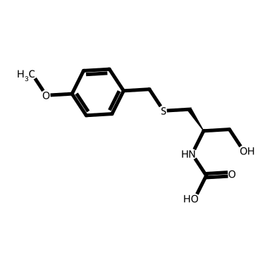 COc1ccc(CSC[C@@H](CO)NC(=O)O)cc1